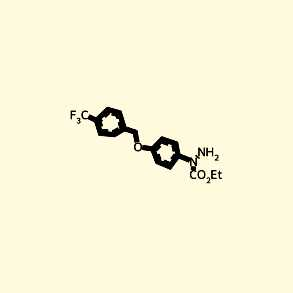 CCOC(=O)N(N)c1ccc(OCc2ccc(C(F)(F)F)cc2)cc1